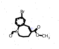 COC(=O)/C1=C/c2cc(Br)ccc2N(C=O)CCC1